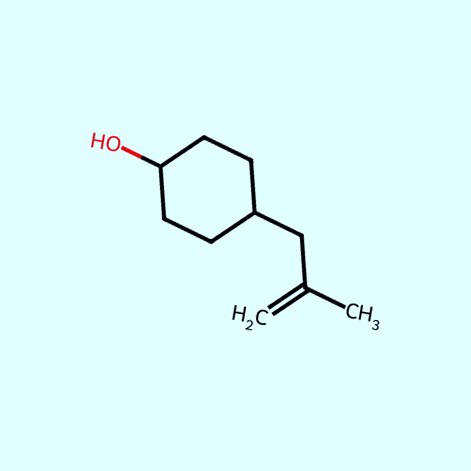 C=C(C)CC1CCC(O)CC1